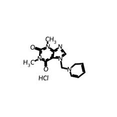 Cl.Cn1c(=O)c2c(ncn2CN2C=CC=CC2)n(C)c1=O